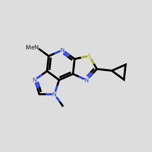 CNc1nc2sc(C3CC3)nc2c2c1ncn2C